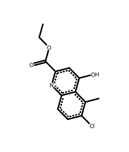 CCOC(=O)c1cc(O)c2c(C)c(Cl)ccc2n1